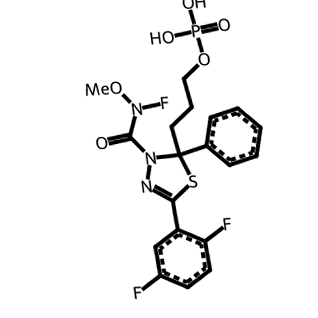 CON(F)C(=O)N1N=C(c2cc(F)ccc2F)SC1(CCCOP(=O)(O)O)c1ccccc1